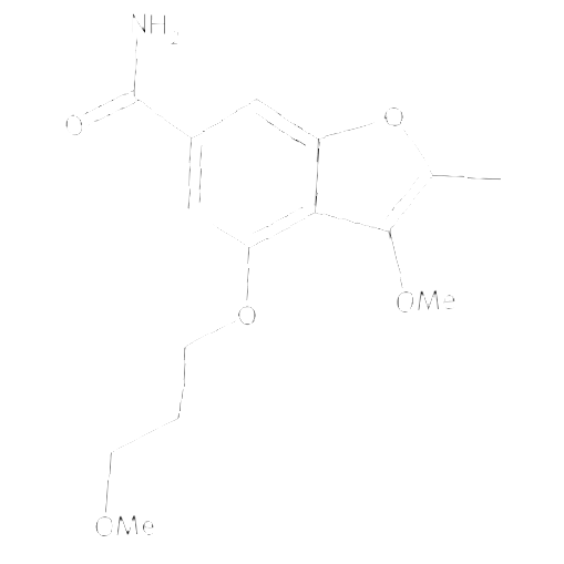 COCCCOc1cc(C(N)=O)cc2oc(C)c(OC)c12